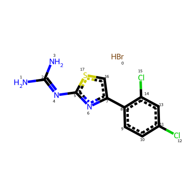 Br.NC(N)=Nc1nc(-c2ccc(Cl)cc2Cl)cs1